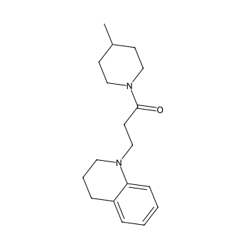 CC1CCN(C(=O)CCN2CCCc3ccccc32)CC1